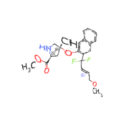 COC/C=C/C(F)(F)c1cc2ccccc2cc1O[C@@]1(C)CN[C@H](C(=O)OC)C1